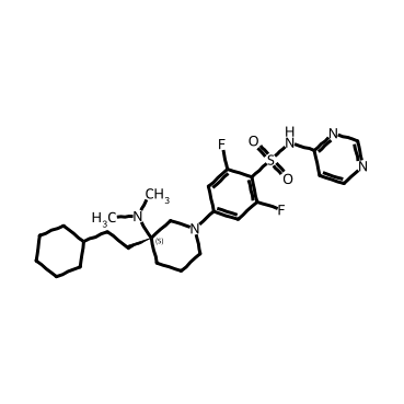 CN(C)[C@@]1(CCC2CCCCC2)CCCN(c2cc(F)c(S(=O)(=O)Nc3ccncn3)c(F)c2)C1